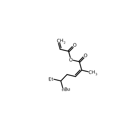 C=CC(=O)OC(=O)C(C)=CCC(CC)CCCC